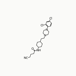 N#CCCCC(=O)NC1CCC(CCN2CCN(c3ccc(Cl)cc3Cl)CC2)CC1